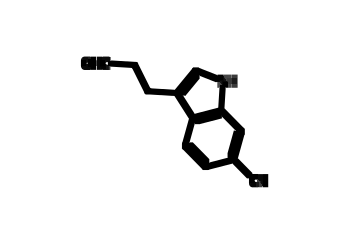 N#Cc1ccc2c(CCC=O)c[nH]c2c1